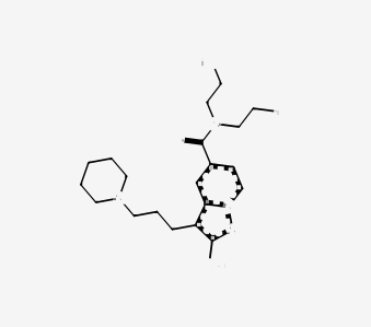 CC(C)CCN(CCC(C)C)C(=O)c1ccn2nc(C(C)(C)C)c(CCCN3CCCCC3)c2c1